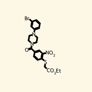 CCOC(=O)CSc1ccc(C(=O)N2CCN(c3cccc(Br)c3)CC2)cc1[N+](=O)[O-]